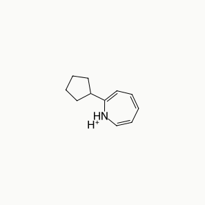 C1=CC=C(C2CCCC2)NC=C1.[H+]